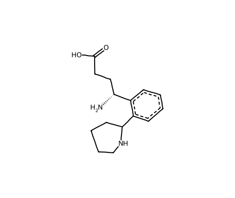 N[C@H](CCC(=O)O)c1ccccc1C1CCCCN1